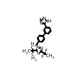 CC(C)(C)c1nc(C(C)(F)F)nn1Cc1ccc(-c2cccc(-c3nnn[nH]3)c2)cc1